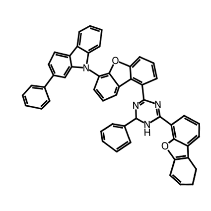 C1=Cc2oc3c(C4=NC(c5cccc6oc7c(-n8c9ccccc9c9ccc(-c%10ccccc%10)cc98)cccc7c56)=NC(c5ccccc5)N4)cccc3c2CC1